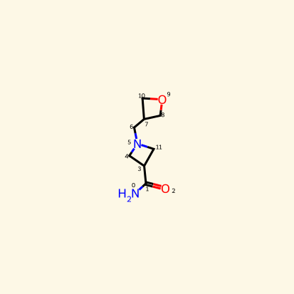 NC(=O)C1CN(CC2COC2)C1